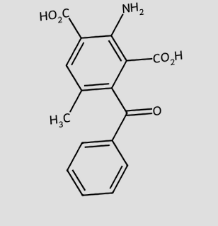 Cc1cc(C(=O)O)c(N)c(C(=O)O)c1C(=O)c1ccccc1